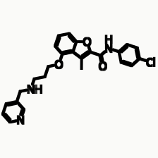 Cc1c(C(=O)Nc2ccc(Cl)cc2)oc2cccc(OCCCNCc3cccnc3)c12